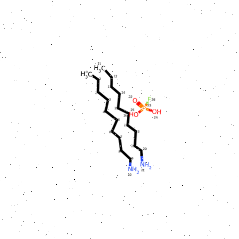 CCCCCCCCCCN.CCCCCCCCCCN.O=P(O)(O)F